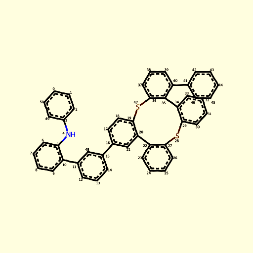 c1ccc(Nc2ccccc2-c2cccc(-c3ccc4c(c3)-c3ccccc3Sc3ccccc3-c3c(cccc3-c3ccccc3)S4)c2)cc1